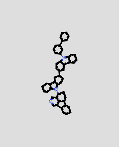 c1ccc(-c2cccc(-n3c4ccccc4c4cc(-c5ccc6c(c5)c5ccccc5n6-c5ccc6c7c(cncc57)-c5ccccc5-6)ccc43)c2)cc1